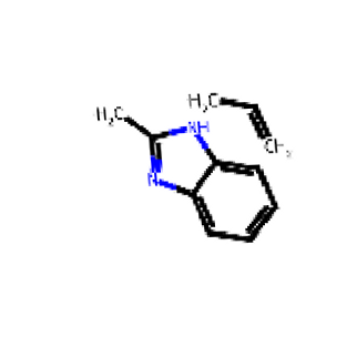 [CH2]C=C.[CH2]c1nc2ccccc2[nH]1